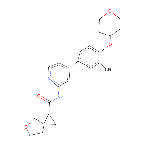 N#Cc1cc(-c2ccnc(NC(=O)C3CC34CCOC4)c2)ccc1OC1CCOCC1